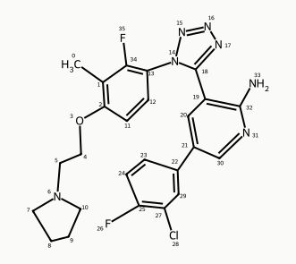 Cc1c(OCCN2CCCC2)ccc(-n2nnnc2-c2cc(-c3ccc(F)c(Cl)c3)cnc2N)c1F